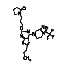 CCCc1cc2c(N3CCn4c(nnc4C(F)(F)F)C3)nc(OCCCN3CCCC3=O)nc2s1